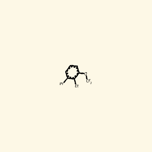 [CH2]C(C)c1cccc(OC(F)(F)F)c1CC